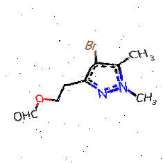 Cc1c(Br)c(CCOC=O)nn1C